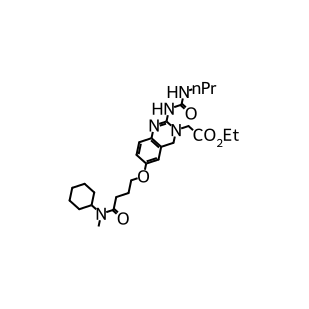 CCCNC(=O)NC1=Nc2ccc(OCCCC(=O)N(C)C3CCCCC3)cc2CN1CC(=O)OCC